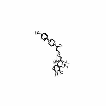 C[C@@H](COCCC(=O)N1CCN(c2ccc(C#N)cn2)CC1)Nc1cn[nH]c(=O)c1C(F)(F)F